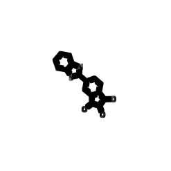 O=c1c(=O)c2ccc(-c3nc4ccccc4s3)cc2c1=O